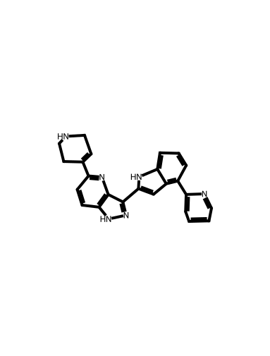 C1=C(c2ccc3[nH]nc(-c4cc5c(-c6ccccn6)cccc5[nH]4)c3n2)CCNC1